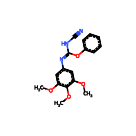 COc1cc(/N=C(/NC#N)Oc2ccccc2)cc(OC)c1OC